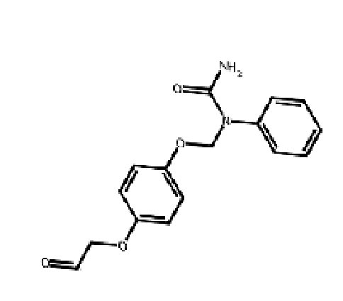 NC(=O)N(COc1ccc(OC[C]=O)cc1)c1ccccc1